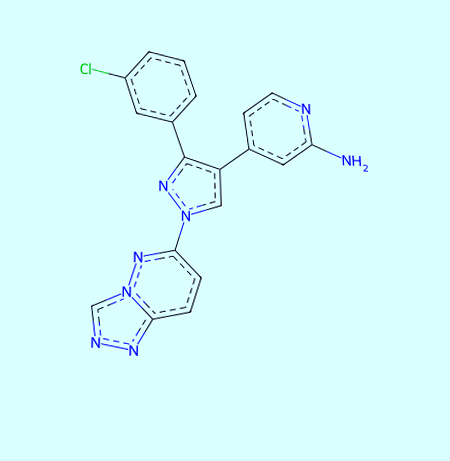 Nc1cc(-c2cn(-c3ccc4nncn4n3)nc2-c2cccc(Cl)c2)ccn1